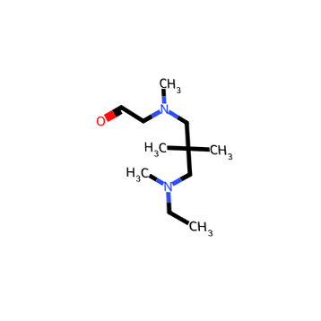 CCN(C)CC(C)(C)CN(C)CC=O